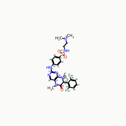 CN(C)CCNS(=O)(=O)c1ccc(Nc2ncc3c(n2)N(C)C(c2c(F)cccc2F)C(=O)N3C)cc1